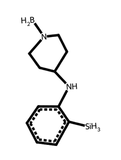 BN1CCC(Nc2ccccc2[SiH3])CC1